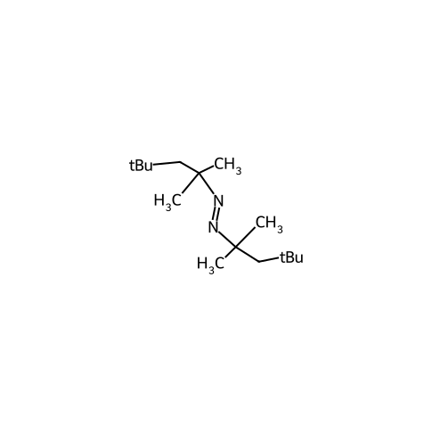 CC(C)(C)CC(C)(C)N=NC(C)(C)CC(C)(C)C